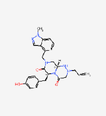 C=CCN1CC(=O)N2[C@H](CN(Cc3cccc4c3cnn4C)C(=O)[C@@H]2Cc2ccc(O)cc2)N1